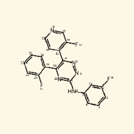 Fc1cccc(Nc2nnc(-c3ccncc3F)c(-c3ccccc3F)n2)c1